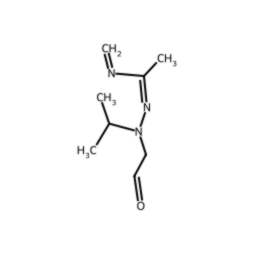 C=N/C(C)=N\N(CC=O)C(C)C